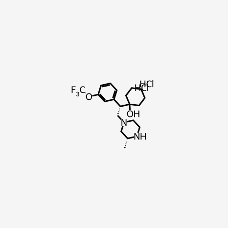 C[C@@H]1CN(C[C@H](c2cccc(OC(F)(F)F)c2)C2(O)CCCCC2)CCN1.Cl.Cl